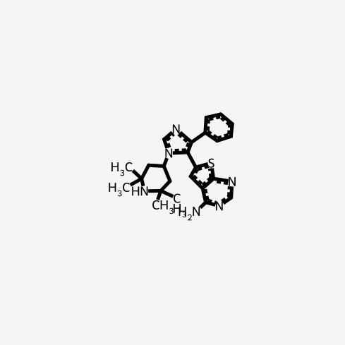 CC1(C)CC(n2cnc(-c3ccccc3)c2-c2cc3c(N)ncnc3s2)CC(C)(C)N1